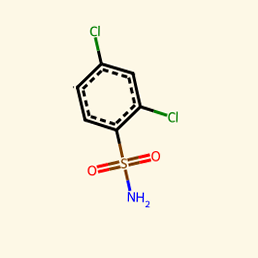 NS(=O)(=O)c1c[c]c(Cl)cc1Cl